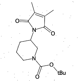 CC1=C(C)C(=O)N(C2CCCN(C(=O)OC(C)(C)C)C2)C1=O